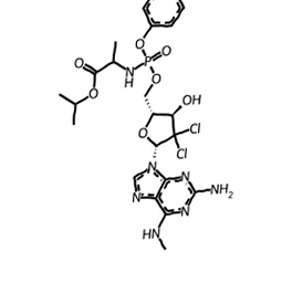 CNc1nc(N)nc2c1ncn2[C@@H]1O[C@H](COP(=O)(NC(C)C(=O)OC(C)C)Oc2ccccc2)[C@@H](O)C1(Cl)Cl